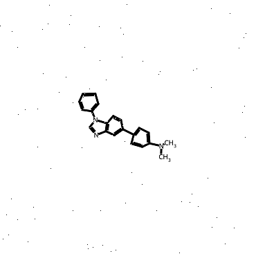 CN(C)c1ccc(-c2ccc3c(c2)ncn3-c2ccccc2)cc1